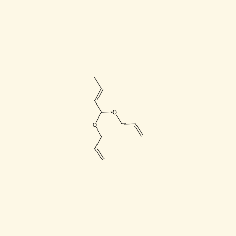 C=CCOC(/C=C/C)OCC=C